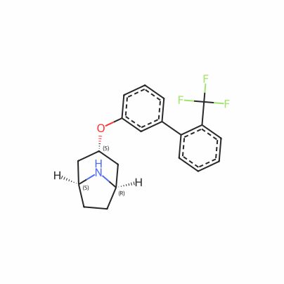 FC(F)(F)c1ccccc1-c1cccc(O[C@@H]2C[C@H]3CC[C@@H](C2)N3)c1